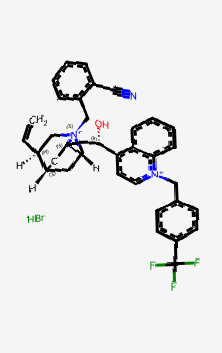 Br.C=C[C@H]1C[N@+]2(Cc3ccccc3C#N)CC[C@H]1C[C@H]2[C@H](O)c1cc[n+](Cc2ccc(C(F)(F)F)cc2)c2ccccc12